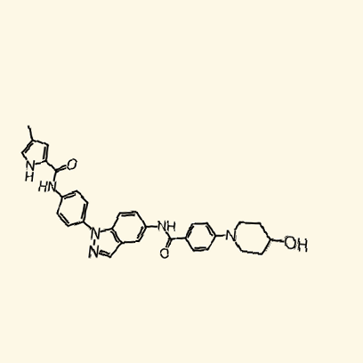 Cc1c[nH]c(C(=O)Nc2ccc(-n3ncc4cc(NC(=O)c5ccc(N6CCC(O)CC6)cc5)ccc43)cc2)c1